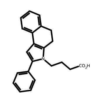 O=C(O)CCCn1c(-c2ccccc2)cc2c1CCc1ccccc1-2